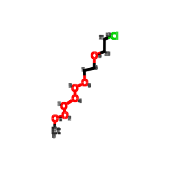 CCOOOOOOCCOCCCl